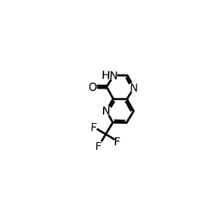 O=c1[nH]cnc2ccc(C(F)(F)F)nc12